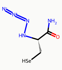 [N-]=[N+]=NN[C@@H](C[SeH])C(N)=O